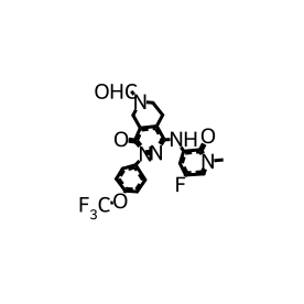 Cn1cc(F)cc(Nc2nn(-c3ccc(OC(F)(F)F)cc3)c(=O)c3c2CCN(C=O)C3)c1=O